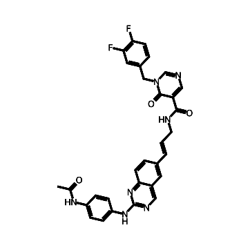 CC(=O)Nc1ccc(Nc2ncc3cc(/C=C/CNC(=O)c4cncn(Cc5ccc(F)c(F)c5)c4=O)ccc3n2)cc1